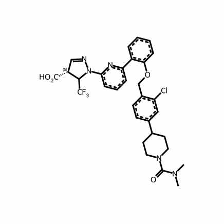 CN(C)C(=O)N1CCC(c2ccc(COc3ccccc3-c3cccc(N4N=C[C@@H](C(=O)O)C4C(F)(F)F)n3)c(Cl)c2)CC1